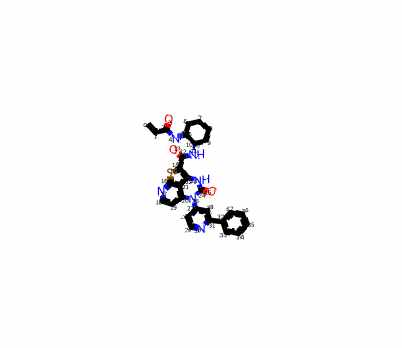 C=CC(=O)/N=C1\CCCC[C@H]1NC(=O)c1sc2nccc3c2c1NC(=O)N3c1ccnc(-c2ccccc2)c1